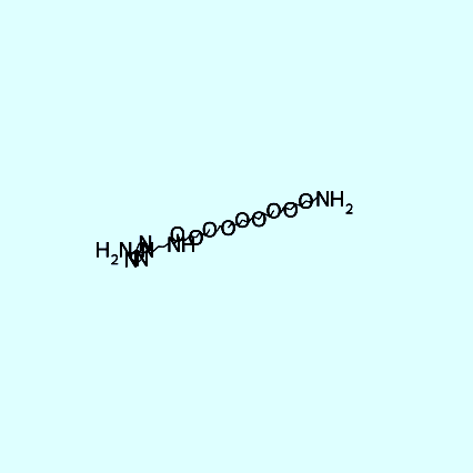 NCCOCCOCCOCCOCCOCCOCCOCCOCCC(=O)NCCCCn1ncc2c(N)ncnc21